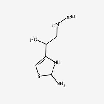 CCCCNCC(O)C1=CSC(N)N1